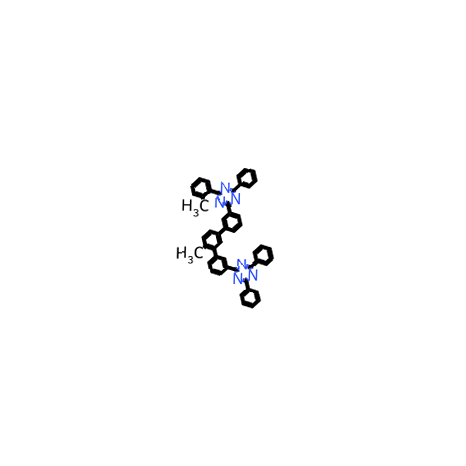 Cc1ccc(-c2cccc(-c3nc(-c4ccccc4)nc(-c4ccccc4C)n3)c2)cc1-c1cccc(-c2nc(-c3ccccc3)nc(-c3ccccc3)n2)c1